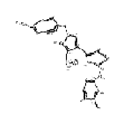 COc1ccc(Cn2cc(-c3csc(Oc4cccc(C)n4)n3)c(C=O)n2)cc1